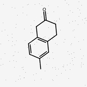 Cc1ccc2c(c1)CCC(=O)C2